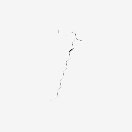 CC(CC=CCCCCCCCCCBr)CC(=O)O